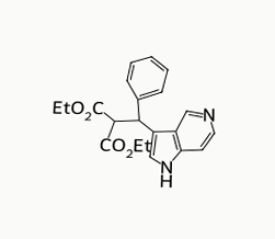 CCOC(=O)C(C(=O)OCC)C(c1ccccc1)c1c[nH]c2ccncc12